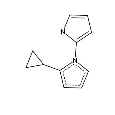 C1=C[N]C(n2cccc2C2CC2)=C1